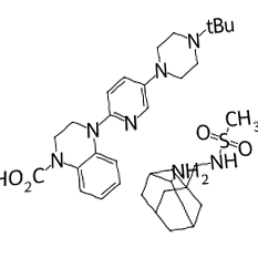 CC(C)(C)N1CCN(c2ccc(N3CCN(C(=O)O)c4ccccc43)nc2)CC1.CS(=O)(=O)NCC12CC3CC(C1)C(N)C(C3)C2